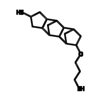 SCCCOC1CC2CC1C1C3CC(C4CC(S)CC43)C21